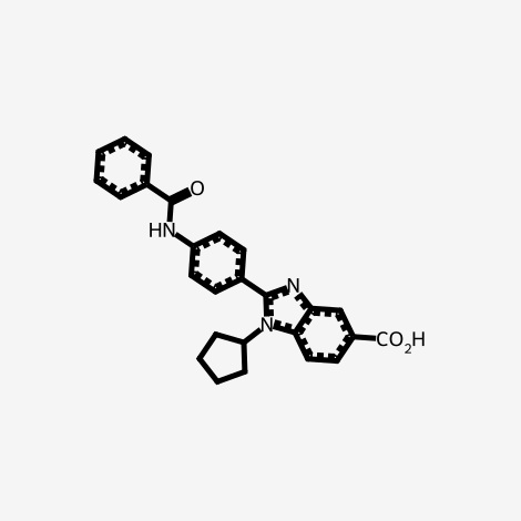 O=C(O)c1ccc2c(c1)nc(-c1ccc(NC(=O)c3ccccc3)cc1)n2C1CCCC1